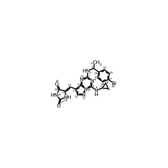 CC(Nc1nc(NC2CC2)n2ncc(/C=C3\NC(=O)NC3=O)c2n1)c1ccc(Br)cc1